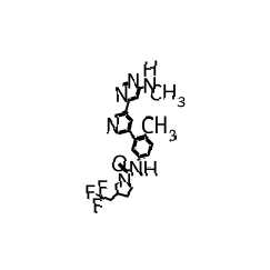 CNc1cc(-c2cncc(-c3cc(NC(=O)N4CCC(CC(F)(F)F)C4)ccc3C)c2)ncn1